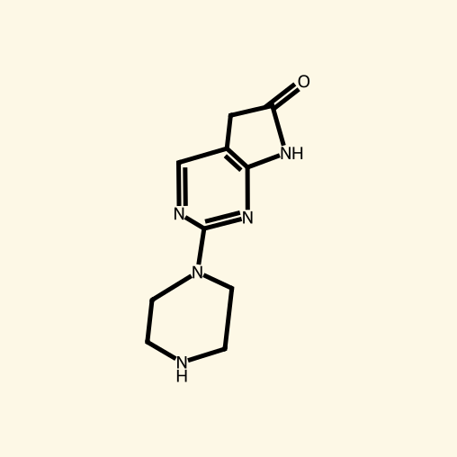 O=C1Cc2cnc(N3CCNCC3)nc2N1